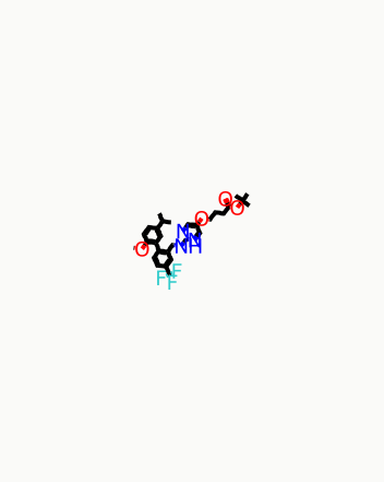 COc1ccc(C(C)C)cc1-c1ccc(C(F)(F)F)cc1CNc1ncc(OCCCC(=O)OC(C)(C)C)cn1